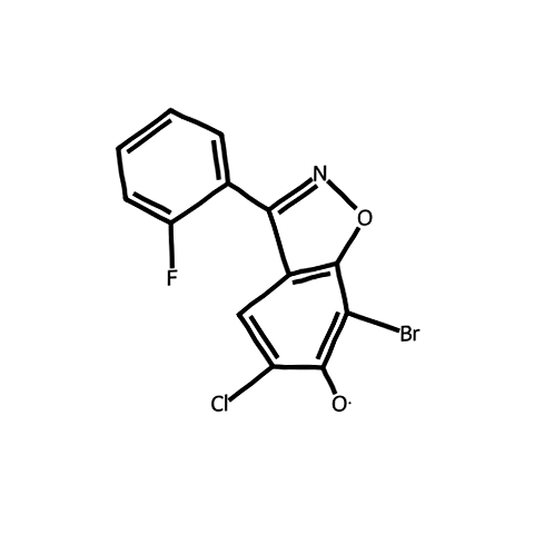 [O]c1c(Cl)cc2c(-c3ccccc3F)noc2c1Br